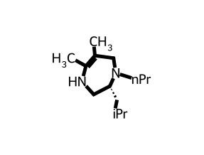 CCCN1CC(C)=C(C)NC[C@H]1CC(C)C